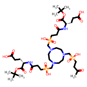 CC(=O)CCP(=O)(O)CN1CCN(CP(=O)(O)CCC(=O)N[C@@H](CCC(=O)O)C(=O)OC(C)(C)C)CCN(CP(=O)(O)CCC(=O)N[C@@H](CCC(=O)O)C(=O)OC(C)(C)C)CC1